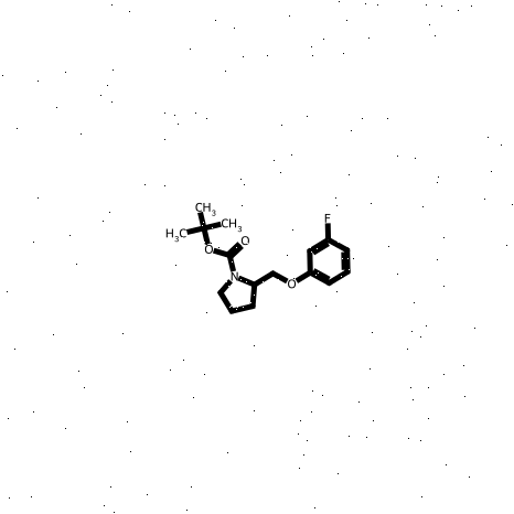 CC(C)(C)OC(=O)N1CCCC1COc1cccc(F)c1